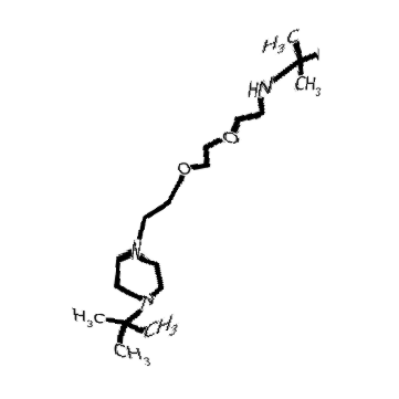 CC(C)(I)NCCOCCOCCN1CCN(C(C)(C)C)CC1